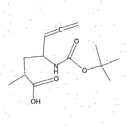 C=C=CC(CC(C)C(=O)O)NC(=O)OC(C)(C)C